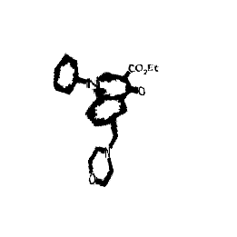 CCOC(=O)c1cn(-c2ccccc2)c2ccc(CN3CCOCC3)cc2c1=O